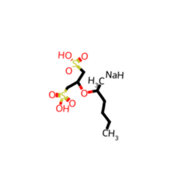 CCCCC(C)OC(CS(=O)(=O)O)CS(=O)(=O)O.[NaH]